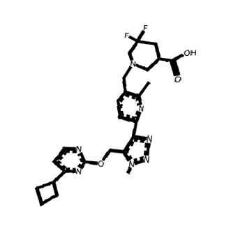 Cc1nc(-c2nnn(C)c2COc2nccc(C3CCC3)n2)ccc1CN1CC(C(=O)O)CC(F)(F)C1